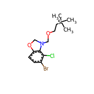 C[Si](C)(C)CCOCN1COc2ccc(Br)c(Cl)c21